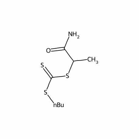 CCCCSC(=S)SC(C)C(N)=O